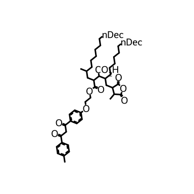 CCCCCCCCCCCCCCCCC(C)CC(C(=O)OCCOc1ccc(C(=O)CC(=O)c2ccc(C)cc2)cc1)C(C(=O)O)C(CCCCCCCCCCCCCCCC)CC1C(=O)OC(=O)C1C